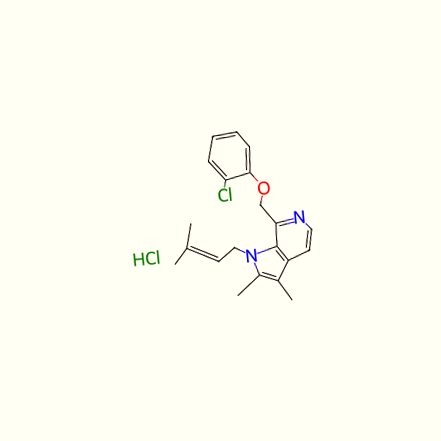 CC(C)=CCn1c(C)c(C)c2ccnc(COc3ccccc3Cl)c21.Cl